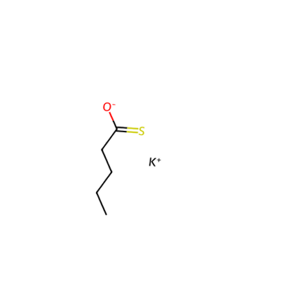 CCCCC([O-])=S.[K+]